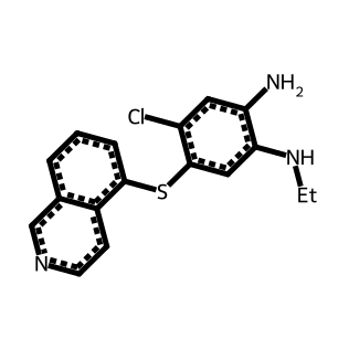 CCNc1cc(Sc2cccc3cnccc23)c(Cl)cc1N